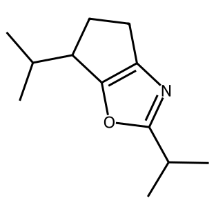 CC(C)c1nc2c(o1)C(C(C)C)CC2